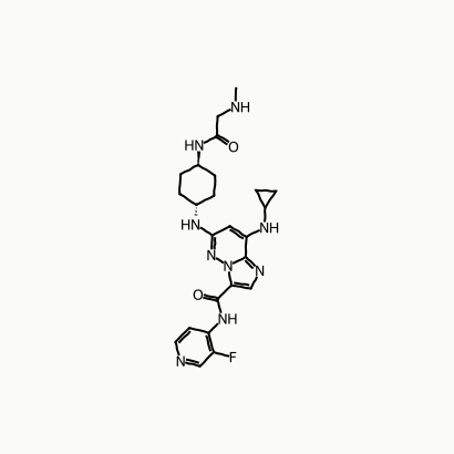 CNCC(=O)N[C@H]1CC[C@H](Nc2cc(NC3CC3)c3ncc(C(=O)Nc4ccncc4F)n3n2)CC1